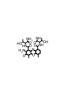 Cc1c2oc3c(C)ccc(C(=O)NC(C(N)=O)C(C)O)c3nc-2c(C(=O)NC(C(N)=O)C(C)O)c(N)c1=O